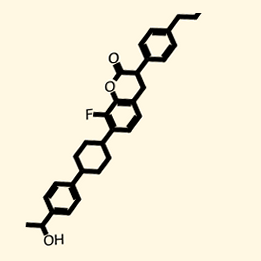 CC(O)c1ccc(C2CCC(c3ccc4c(c3F)OC(=O)C(c3ccc(CCF)cc3)C4)CC2)cc1